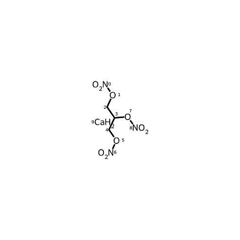 O=[N+]([O-])OCC(CO[N+](=O)[O-])O[N+](=O)[O-].[CaH2]